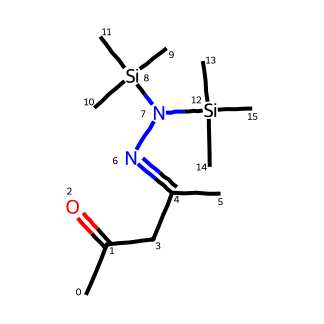 CC(=O)CC(C)=NN([Si](C)(C)C)[Si](C)(C)C